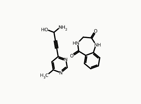 Cc1cc(C#CC(N)O)ncn1.O=C1CNC(=O)c2ccccc2N1